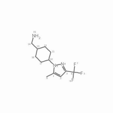 Cc1cc(C(F)(F)F)nn1C1CCC(CN)CC1